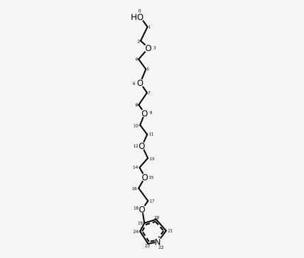 OCCOCCOCCOCCOCCOCCOc1ccncc1